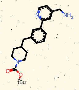 CC(C)(C)OC(=O)N1CCC(Cc2cccc(-c3cc(CN)ccn3)c2)CC1